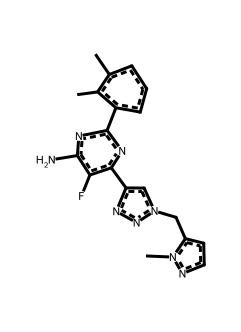 Cc1cccc(-c2nc(N)c(F)c(-c3cn(Cc4ccnn4C)nn3)n2)c1C